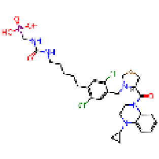 O=C(NCCCCCc1cc(Cl)c(CN2CSC[C@H]2C(=O)N2CCN(C3CC3)c3ccccc32)cc1Cl)NCP(=O)(O)O